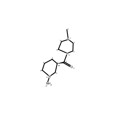 CN1CCN(C(=O)[C@@H]2CCCN(N)C2)CC1